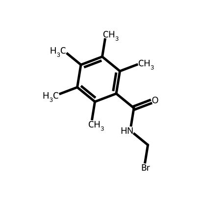 Cc1c(C)c(C)c(C(=O)NCBr)c(C)c1C